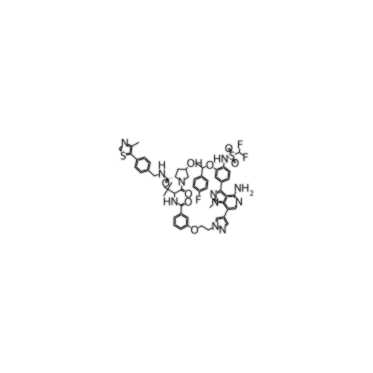 Cc1ncsc1-c1ccc(CNC(=O)[C@@H]2C[C@@H](O)CN2C(=O)C(NC(=O)c2cccc(OCCn3cc(-c4cnc(N)c5c(-c6ccc(NS(=O)(=O)C(F)F)c(OC(C)c7ccc(F)cc7)c6)nn(C)c45)cn3)c2)C(C)(C)C)cc1